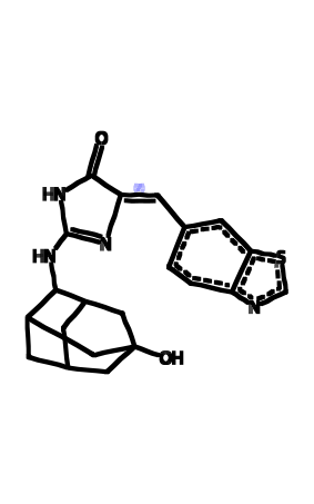 O=C1NC(NC2C3CC4CC2CC(O)(C4)C3)=N/C1=C\c1ccc2ncsc2c1